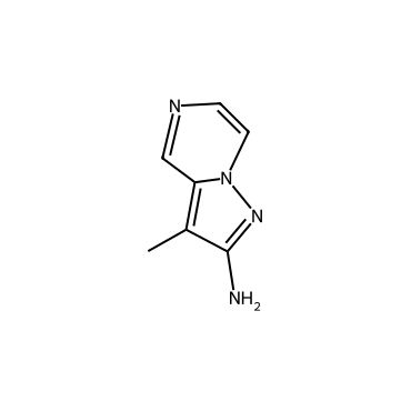 Cc1c(N)nn2ccncc12